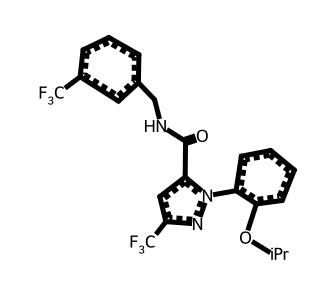 CC(C)Oc1ccccc1-n1nc(C(F)(F)F)cc1C(=O)NCc1cccc(C(F)(F)F)c1